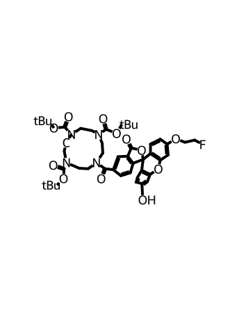 CC(C)(C)OC(=O)N1CCN(C(=O)OC(C)(C)C)CCN(C(=O)c2ccc3c(c2)C(=O)OC32c3ccc(O)cc3Oc3cc(OCCF)ccc32)CCN(C(=O)OC(C)(C)C)CC1